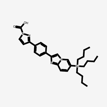 CCC[CH2][Sn]([CH2]CCC)([CH2]CCC)[c]1ccc2nc(-c3ccc(-c4ccn(C(=O)O)n4)cc3)cn2c1